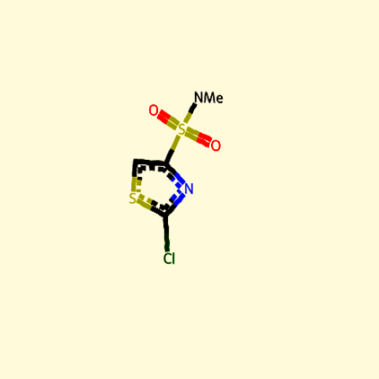 CNS(=O)(=O)c1csc(Cl)n1